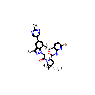 CC(=O)c1nn(CC(=O)N2[C@H](C(=O)Nc3nc(Br)ccc3C)C[C@@]3(C(=O)O)C[C@@H]23)c2c(C)cc(-c3cnc(C)nc3)cc12